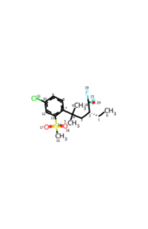 CC[C@H](CC(C)(C)c1ccc(Cl)cc1S(C)(=O)=O)C(F)(F)F